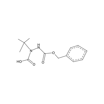 CC(C)(C)N(NC(=O)OCc1ccccc1)C(=O)O